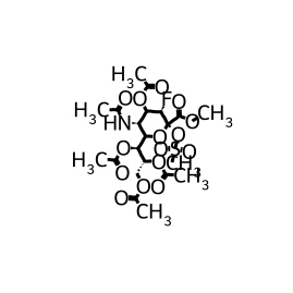 COC(=O)[C@@]1(OS(C)(=O)=O)OC([C@H](OC(C)=O)[C@@H](COC(C)=O)OC(C)=O)[C@H](NC(C)=O)C(OC(C)=O)[C@@H]1F